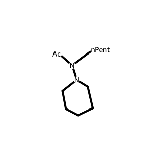 [CH2]CCCCN(C(C)=O)N1CCCCC1